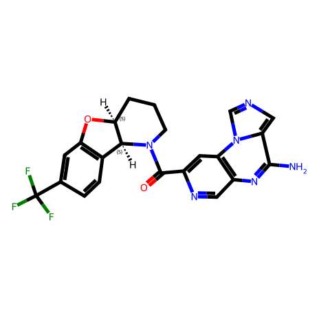 Nc1nc2cnc(C(=O)N3CCC[C@@H]4Oc5cc(C(F)(F)F)ccc5[C@@H]43)cc2n2cncc12